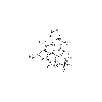 Cc1cc(C(C)Nc2ccccc2C(=O)O)c2nc(C3CCCN3S(=O)(=O)F)n(C)c(=O)c2c1